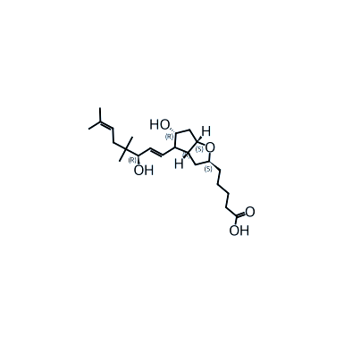 CC(C)=CCC(C)(C)[C@H](O)C=CC1[C@H](O)C[C@@H]2O[C@@H](CCCCC(=O)O)C[C@H]12